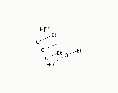 CCO.CC[O-].CC[O-].CC[O-].CC[O-].[Hf+4]